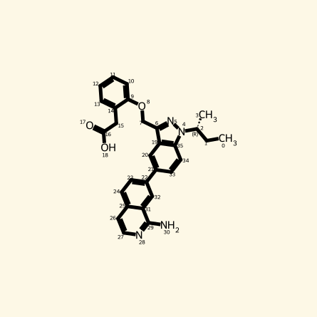 CC[C@@H](C)n1nc(COc2ccccc2CC(=O)O)c2cc(-c3ccc4ccnc(N)c4c3)ccc21